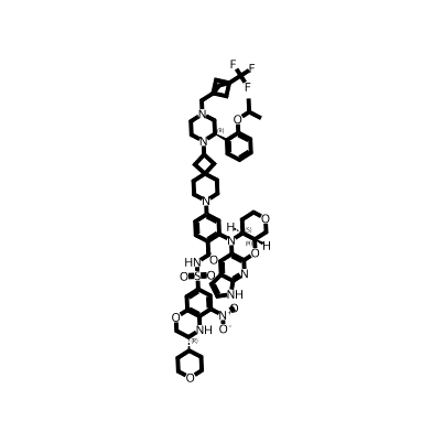 CC(C)Oc1ccccc1[C@@H]1CN(CC23CC(C(F)(F)F)(C2)C3)CCN1C1CC2(CCN(c3ccc(C(=O)NS(=O)(=O)c4cc5c(c([N+](=O)[O-])c4)N[C@H](C4CCOCC4)CO5)c(N4c5cc6cc[nH]c6nc5O[C@H]5COCC[C@@H]54)c3)CC2)C1